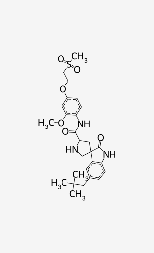 COc1cc(OCCS(C)(=O)=O)ccc1NC(=O)C1CC2(CN1)C(=O)Nc1ccc(CC(C)(C)C)cc12